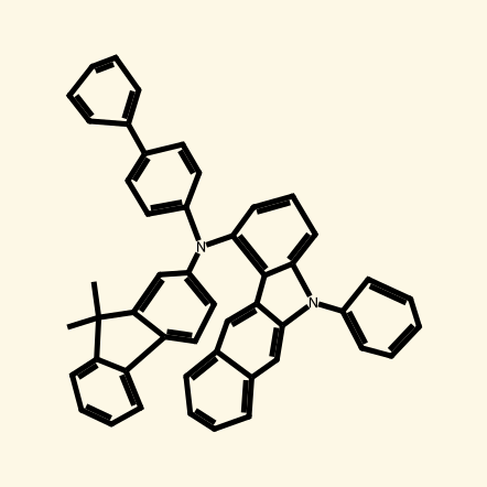 CC1(C)c2ccccc2-c2ccc(N(c3ccc(-c4ccccc4)cc3)c3cccc4c3c3cc5ccccc5cc3n4-c3ccccc3)cc21